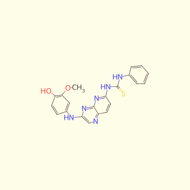 COc1cc(Nc2cnc3ccc(NC(=S)Nc4ccccc4)nc3n2)ccc1O